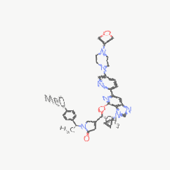 COc1ccc([C@@H](C)N2CC([C@@H](C)Oc3nc(-c4ccc(N5CCN(C6COC6)CC5)cn4)cc4ncn(C5CC5)c34)CC2=O)cc1